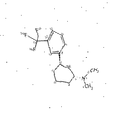 CN(C)[C@@H]1CCC[C@@H](c2cccc(C(F)(F)F)c2)C1